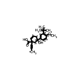 CC#CC1(C(=O)O)C=CCC(O)(c2ccc(OC)c(C(C)(C)C)c2)C1